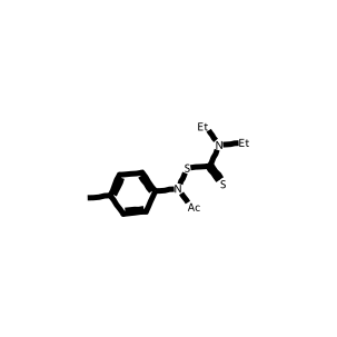 CCN(CC)C(=S)SN(C(C)=O)c1ccc(C)cc1